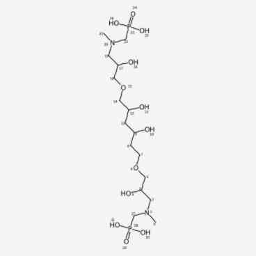 CN(CC(O)COCCC(O)CC(O)COCC(O)CN(C)CP(=O)(O)O)CP(=O)(O)O